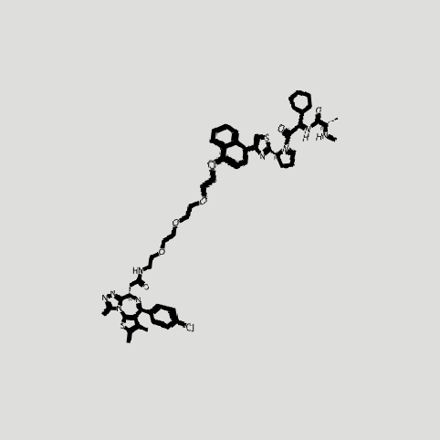 CN[C@@H](C)C(=O)NC(C(=O)N1CCC[C@H]1c1nc(-c2ccc(OCCOCCOCCOCCNC(=O)C[C@@H]3N=C(c4ccc(Cl)cc4)c4c(sc(C)c4C)-n4c(C)nnc43)c3ccccc23)cs1)C1CCCCC1